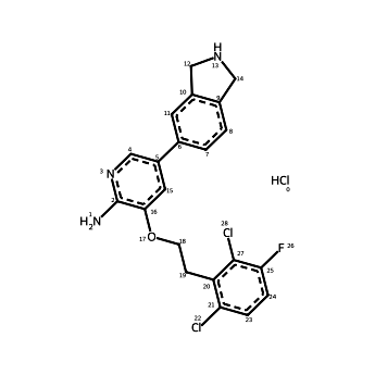 Cl.Nc1ncc(-c2ccc3c(c2)CNC3)cc1OCCc1c(Cl)ccc(F)c1Cl